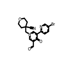 N#CC1(Cn2cc(C=O)c(=O)c(-c3ccc(Br)cn3)c2)CCOCC1